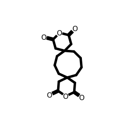 O=C1CC2(CCCCC3(CCC2)CC(=O)OC(=O)C3)CC(=O)O1